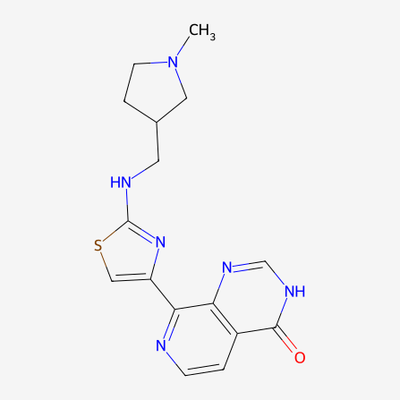 CN1CCC(CNc2nc(-c3nccc4c(=O)[nH]cnc34)cs2)C1